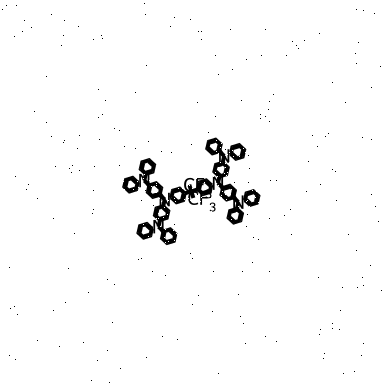 FC(F)(F)C(c1ccc(N(c2ccc(N(c3ccccc3)c3ccccc3)cc2)c2ccc(N(c3ccccc3)c3ccccc3)cc2)cc1)(c1ccc(N(c2ccc(N(c3ccccc3)c3ccccc3)cc2)c2ccc(N(c3ccccc3)c3ccccc3)cc2)cc1)C(F)(F)F